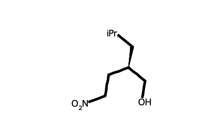 CC(C)C[C@@H](CO)CC[N+](=O)[O-]